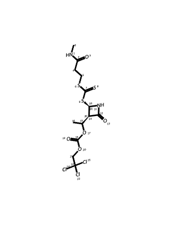 CNC(=O)CCSC(=S)S[C@H]1NC(=O)[C@H]1C(C)OC(=O)OCC(Cl)(Cl)Cl